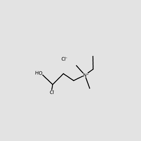 CC[N+](C)(C)CCC(O)Cl.[Cl-]